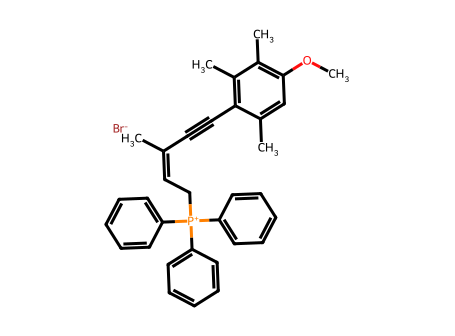 COc1cc(C)c(C#C/C(C)=C\C[P+](c2ccccc2)(c2ccccc2)c2ccccc2)c(C)c1C.[Br-]